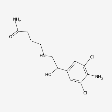 NC(=O)CCCNCC(O)c1cc(Cl)c(N)c(Cl)c1